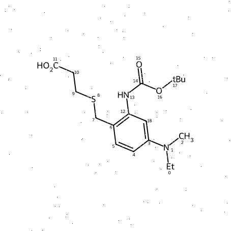 CCN(C)c1ccc(CSCCC(=O)O)c(NC(=O)OC(C)(C)C)c1